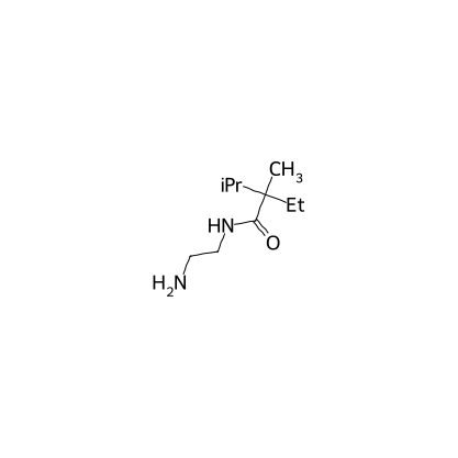 CCC(C)(C(=O)NCCN)C(C)C